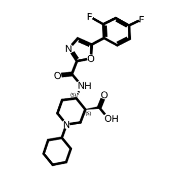 O=C(N[C@H]1CCN(C2CCCCC2)C[C@@H]1C(=O)O)c1ncc(-c2ccc(F)cc2F)o1